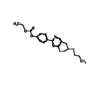 CCCCC1CCc2nc(-c3ccc(OC(=O)OCC)cc3)ncc2C1